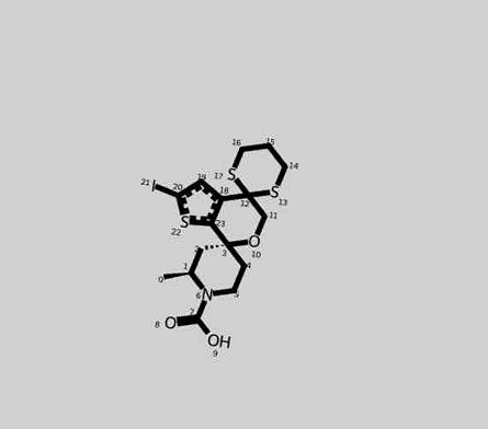 C[C@H]1C[C@@]2(CCN1C(=O)O)OCC1(SCCCS1)c1cc(I)sc12